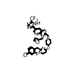 Fc1cc(Cl)ccc1Cc1nccc(OC2CCN(Cc3nc4cc(-c5nnc(C(F)(F)F)[nH]5)cnc4n3CC3CCO3)CC2)n1